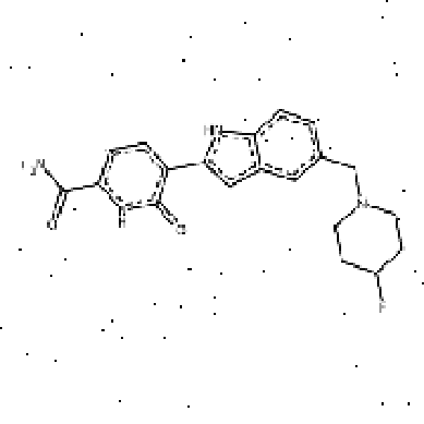 NC(=O)c1[c]cc(-c2cc3cc(CN4CCC(F)CC4)ccc3[nH]2)c(=O)[nH]1